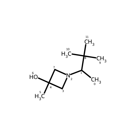 CC(N1CC(C)(O)C1)C(C)(C)C